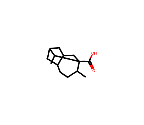 CC1CCC2CC3CC2CC1(C(=O)O)C3C